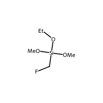 CCO[Si](CF)(OC)OC